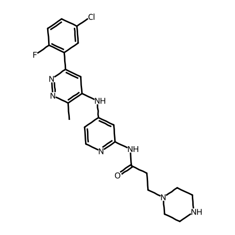 Cc1nnc(-c2cc(Cl)ccc2F)cc1Nc1ccnc(NC(=O)CCN2CCNCC2)c1